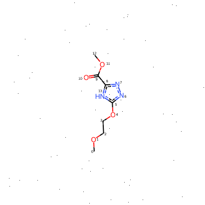 COCCOc1nnc(C(=O)OC)[nH]1